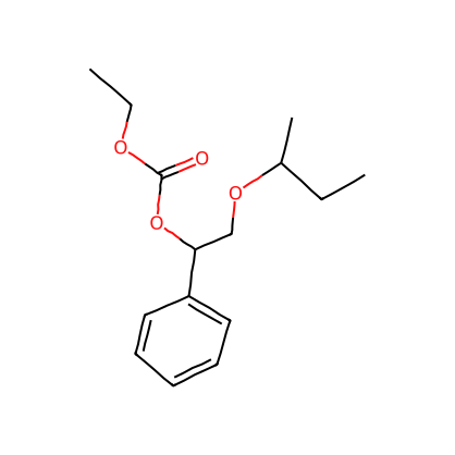 CCOC(=O)OC(COC(C)CC)c1ccccc1